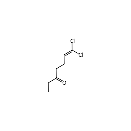 CCC(=O)CCC=C(Cl)Cl